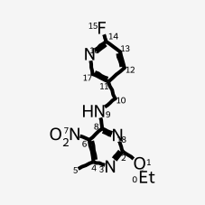 CCOc1nc(C)c([N+](=O)[O-])c(NCc2ccc(F)nc2)n1